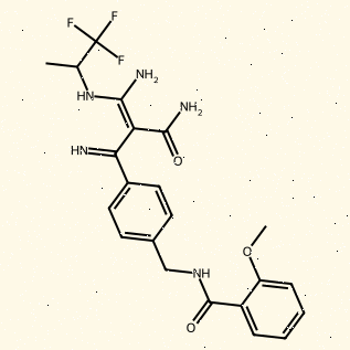 COc1ccccc1C(=O)NCc1ccc(C(=N)/C(C(N)=O)=C(/N)NC(C)C(F)(F)F)cc1